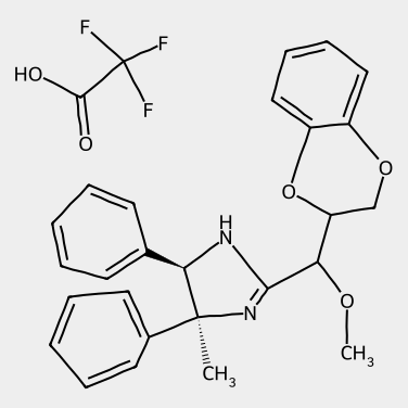 COC(C1=N[C@@](C)(c2ccccc2)[C@@H](c2ccccc2)N1)C1COc2ccccc2O1.O=C(O)C(F)(F)F